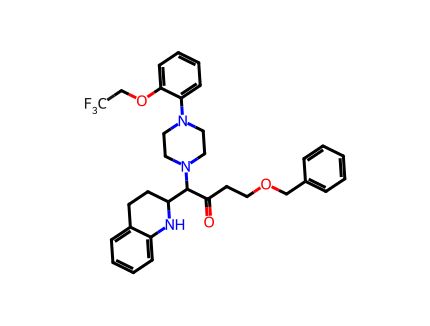 O=C(CCOCc1ccccc1)C(C1CCc2ccccc2N1)N1CCN(c2ccccc2OCC(F)(F)F)CC1